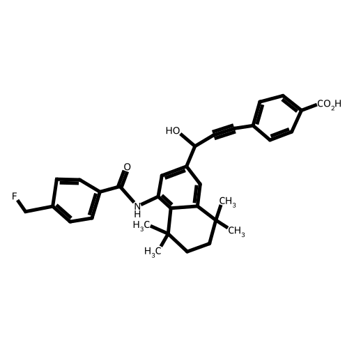 CC1(C)CCC(C)(C)c2c(NC(=O)c3ccc(CF)cc3)cc(C(O)C#Cc3ccc(C(=O)O)cc3)cc21